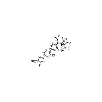 C[C@]12CCC[C@@H](N1)[C@H](F)[C@H](N(c1cnc(-c3ccc(-n4cc(F)c(C#N)n4)cc3O)nn1)C1CC1)C2